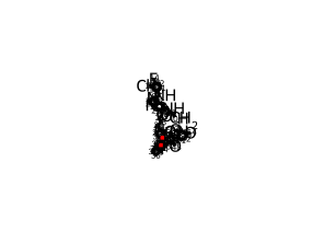 C=CC(=O)Nc1cc2c(Nc3ccc(F)c(Cl)c3)ncnc2cc1OCCCN1CCC(CN2CC3CCC(C2)N3c2ccc3c(c2)C(=O)N(C2CCC(=O)NC2=O)C3=O)CC1